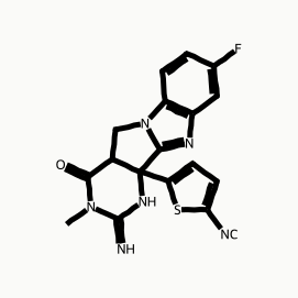 [C-]#[N+]c1ccc(C23NC(=N)N(C)C(=O)C2Cn2c3nc3cc(F)ccc32)s1